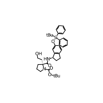 CC(C)(C)OC(=O)N1CCC[C@@]1(CCO)C(=O)N[C@@H]1CCc2ccc(O[Si](c3ccccc3)(c3ccccc3)C(C)(C)C)cc21